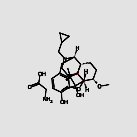 CO[C@@]12CC[C@@]3(C[C@@H]1[C@](C)(O)C(C)(C)C)[C@H]1Cc4ccc(O)c5c4[C@@]3(CCN1CC1CC1)[C@H]2O5.NCC(=O)O